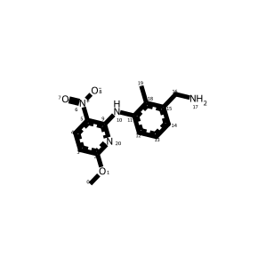 COc1ccc([N+](=O)[O-])c(Nc2cccc(CN)c2C)n1